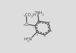 Nc1cccc(N)c1OC(=O)O